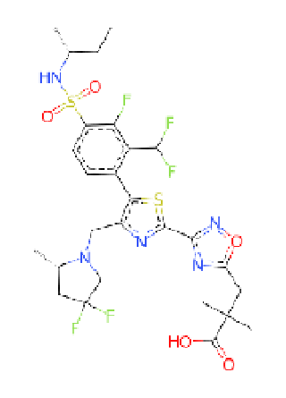 CC[C@@H](C)NS(=O)(=O)c1ccc(-c2sc(-c3noc(CC(C)(C)C(=O)O)n3)nc2CN2CC(F)(F)C[C@@H]2C)c(C(F)F)c1F